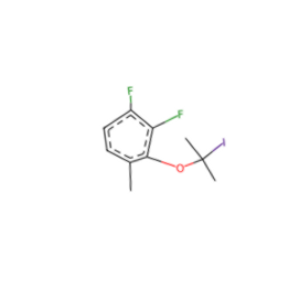 Cc1ccc(F)c(F)c1OC(C)(C)I